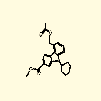 COC(=O)c1ccc2c3c(COC(C)=O)cccc3n(C3CCCCC3)c2c1